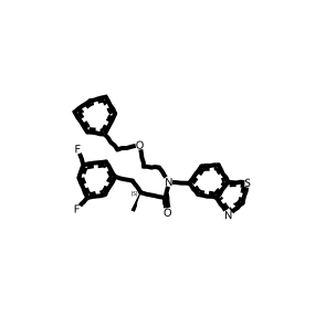 C[C@@H](Cc1cc(F)cc(F)c1)C(=O)N(CCOCc1ccccc1)c1ccc2scnc2c1